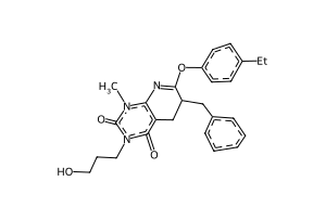 CCc1ccc(OC2=Nc3c(c(=O)n(CCCO)c(=O)n3C)CC2Cc2ccccc2)cc1